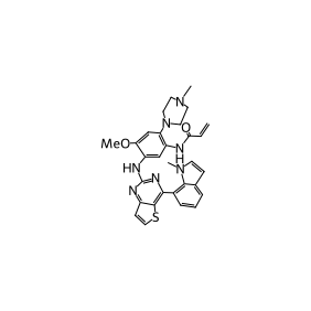 C=CC(=O)Nc1cc(Nc2nc(-c3cccc4ccn(C)c34)c3sccc3n2)c(OC)cc1N1CCN(C)CC1